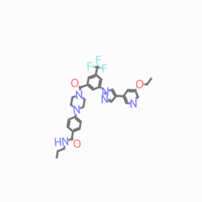 CCCNC(=O)c1ccc(N2CCN(C(=O)c3cc(-n4cc(-c5cncc(OCC)c5)cn4)cc(C(F)(F)F)c3)CC2)cc1